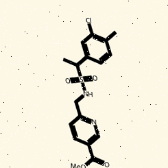 COC(=O)c1ccc(CNS(=O)(=O)C(C)c2ccc(C)c(Cl)c2)nc1